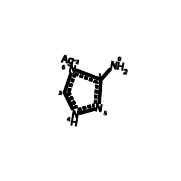 Nc1nc[nH]n1.[Ag]